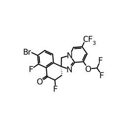 O=C1c2c(ccc(Br)c2F)[C@@]2(CC1F)CN1C=C(C(F)(F)F)C=C(OC(F)F)C1=N2